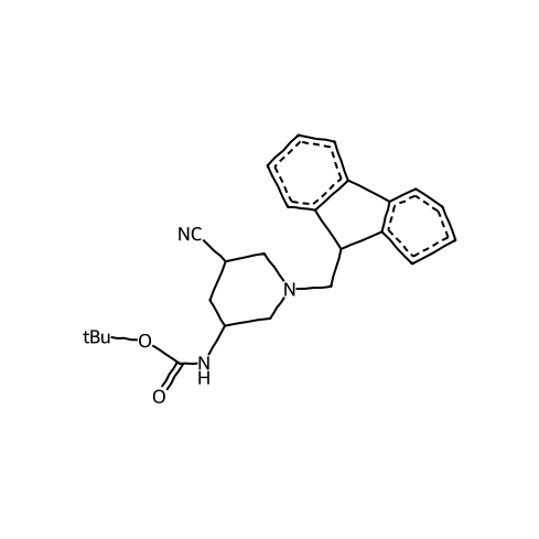 CC(C)(C)OC(=O)NC1CC(C#N)CN(CC2c3ccccc3-c3ccccc32)C1